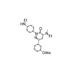 CCNc1ccc(-n2nc(-c3cccc(OC)c3)cc(N(C)CC)c2=O)cc1